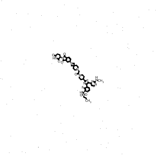 CCCS(=O)(=O)Nc1cccc(-c2nc(C3CCN(C(=O)CN4CCC5(CC4)CN(c4ccc6c(c4)C(=O)N([C@@H]4CCC(=O)NC4=O)C6=O)C5)CC3)sc2-c2ccnc(NC)n2)c1F